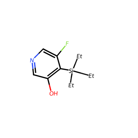 CC[Si](CC)(CC)c1c(O)cncc1F